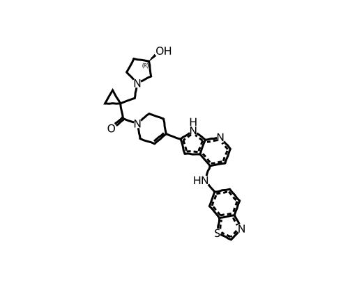 O=C(N1CC=C(c2cc3c(Nc4ccc5ncsc5c4)ccnc3[nH]2)CC1)C1(CN2CC[C@@H](O)C2)CC1